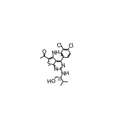 CC(=O)c1sc2nc(N[C@H](CO)C(C)C)nc(-c3ccc(Cl)c(Cl)c3)c2c1N